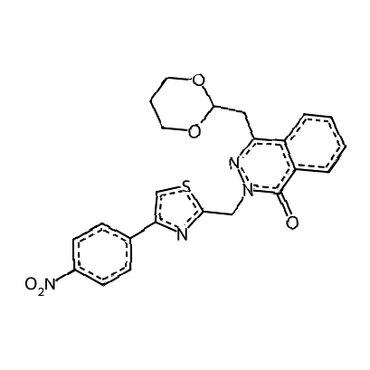 O=c1c2ccccc2c(CC2OCCCO2)nn1Cc1nc(-c2ccc([N+](=O)[O-])cc2)cs1